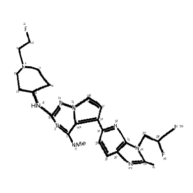 CNc1nc(NC2CCN(CCF)CC2)nn2ccc(-c3ccc4nc(C)n(CC(F)F)c4n3)c12